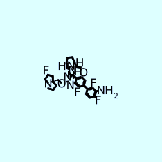 Nc1c(F)ccc(-c2cc3c4c(nc(OC[C@@]56CCCN5C[C@H](F)C6)nc4c2F)N2C[C@H]4CC[C@H](N4)[C@@H]2CO3)c1F